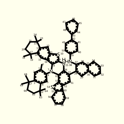 Cc1cc2c(cc1N1c3c(sc4cc5c(cc34)C(C)(C)CCC5(C)C)Bc3c(-c4cc5ccccc5cc4Nc4ccc(-c5ccccc5)cc4)cc4c(sc5ccccc54)c31)C(C)(C)CCC2(C)C